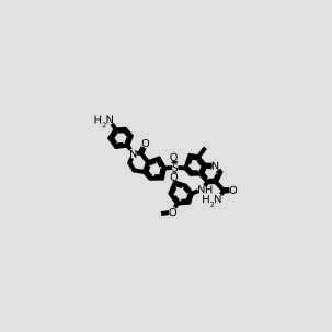 COc1cccc(Nc2c(C(N)=O)cnc3c(C)cc(S(=O)(=O)c4ccc5c(c4)C(=O)N(c4ccc(N)cc4)CC5)cc23)c1